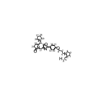 CC1CCCN1CCCOc1ccc(-c2nc(CN3C(=O)CCC3CN3CCCC3)co2)cc1